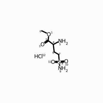 COC(=O)C(N)CCS(N)(=O)=O.Cl